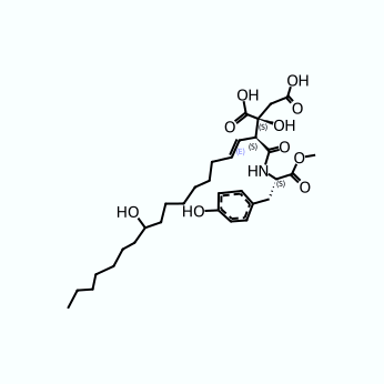 CCCCCCCC(O)CCCCCC/C=C/[C@H](C(=O)N[C@@H](Cc1ccc(O)cc1)C(=O)OC)[C@@](O)(CC(=O)O)C(=O)O